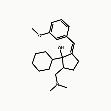 COc1cccc(C=C2CCC(CN(C)C)C2(O)C2CCCCC2)c1